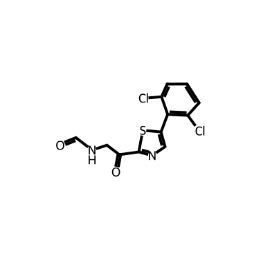 O=CNCC(=O)c1ncc(-c2c(Cl)cccc2Cl)s1